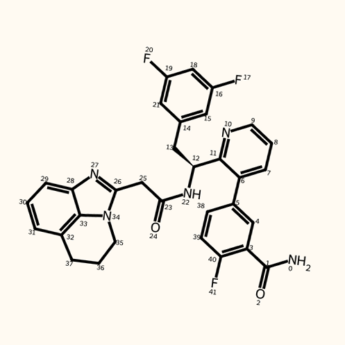 NC(=O)c1cc(-c2cccnc2[C@H](Cc2cc(F)cc(F)c2)NC(=O)Cc2nc3cccc4c3n2CCC4)ccc1F